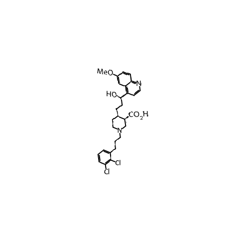 COc1ccc2nccc(C(O)CC[C@@H]3CCN(CCCc4cccc(Cl)c4Cl)C[C@@H]3C(=O)O)c2c1